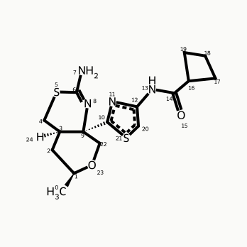 C[C@H]1C[C@H]2CSC(N)=N[C@@]2(c2nc(NC(=O)C3CCC3)cs2)CO1